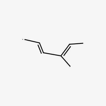 [CH2]C=CC(C)=CC